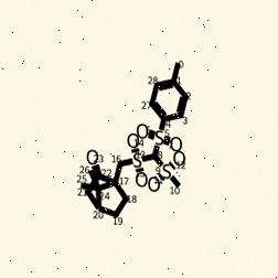 Cc1ccc(S(=O)(=O)C(S(C)(=O)=O)S(=O)(=O)CC23CCC(CC2=O)C3(C)C)cc1